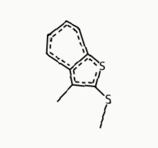 CSc1sc2ccccc2c1C